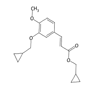 COc1ccc(C=CC(=O)OCC2CC2)cc1OCC1CC1